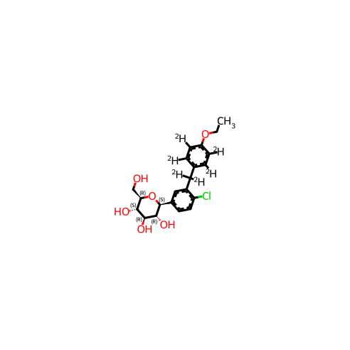 [2H]c1c([2H])c(C([2H])([2H])c2cc([C@@H]3O[C@H](CO)[C@@H](O)[C@H](O)[C@H]3O)ccc2Cl)c([2H])c([2H])c1OCC